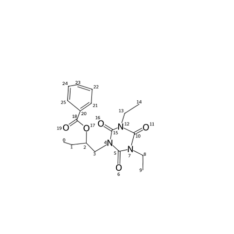 CCC(Cn1c(=O)n(CC)c(=O)n(CC)c1=O)OC(=O)c1ccccc1